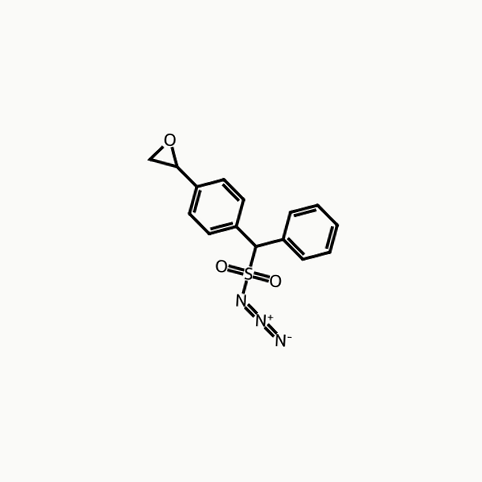 [N-]=[N+]=NS(=O)(=O)C(c1ccccc1)c1ccc(C2CO2)cc1